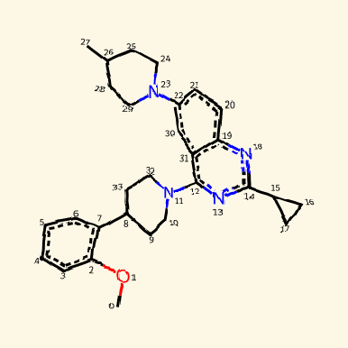 COc1ccccc1C1CCN(c2nc(C3CC3)nc3ccc(N4CCC(C)CC4)cc23)CC1